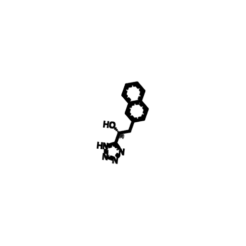 O[C@H](Cc1ccc2ccccc2c1)c1nnn[nH]1